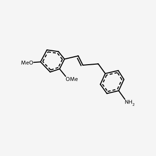 COc1ccc(/C=C/Cc2ccc(N)cc2)c(OC)c1